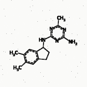 Cc1nc(N)nc(NC2CCc3cc(C)c(C)cc32)n1